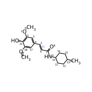 COc1cc(/C=C/C(=O)NC2CCC(C)CC2)cc(OC)c1O